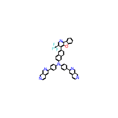 FC(F)(F)c1cnc2c(oc3ccccc32)c1-c1ccc2cc(N(c3ccc(-c4cc5ccncc5cn4)cc3)c3ccc(-c4cc5ccncc5cn4)cc3)ccc2c1